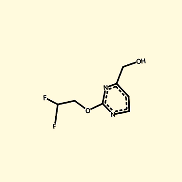 OCc1ccnc(OCC(F)F)n1